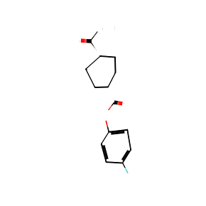 CCCCC(=O)[C@H]1CC[C@H](C(=O)Oc2ccc(F)cc2)CC1